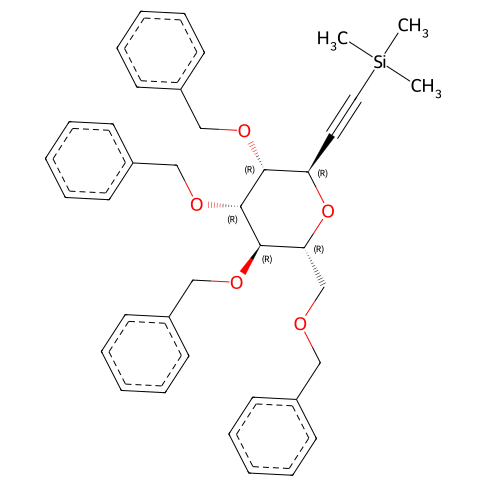 C[Si](C)(C)C#C[C@H]1O[C@H](COCc2ccccc2)[C@@H](OCc2ccccc2)[C@H](OCc2ccccc2)[C@@H]1OCc1ccccc1